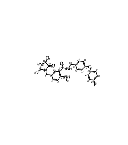 CNc1ccc(CN2C(=O)NC(=O)C2=O)cc1C(=O)NCc1ccc(Oc2ccc(F)cc2)cc1